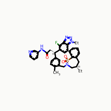 CC[C@H]1Cc2ccccc2S(=O)(=O)N(Cc2cc([C@H](CC(=O)Nc3cccnc3)c3ccc4c(nnn4CC)c3F)ccc2C)C1